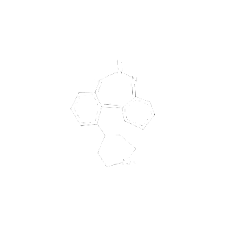 C1=c2cccc(C3CCNCC3)c2=c2ccccc2=NN1